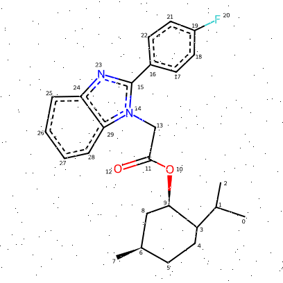 CC(C)C1CC[C@@H](C)C[C@H]1OC(=O)Cn1c(-c2ccc(F)cc2)nc2ccccc21